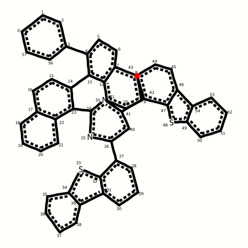 c1ccc(-c2ccc3ccccc3c2-c2ccc3ccccc3c2-c2nc(-c3cccc4c3sc3ccccc34)cc(-c3cccc4c3sc3ccccc34)n2)cc1